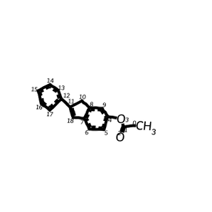 CC(=O)Oc1ccc2c(c1)CC(c1ccccc1)=C2